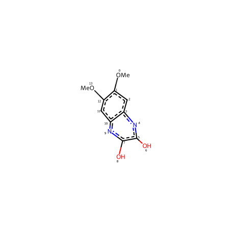 COc1cc2nc(O)c(O)nc2cc1OC